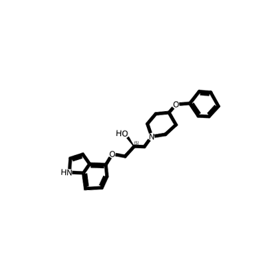 O[C@H](COc1cccc2[nH]ccc12)CN1CCC(Oc2ccccc2)CC1